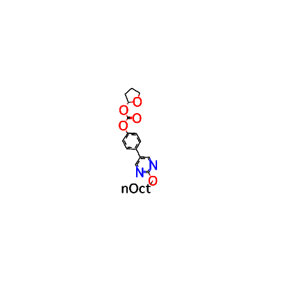 CCCCCCCCOc1ncc(-c2ccc(OC(=O)O[C@@H]3CCCO3)cc2)cn1